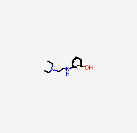 CCN(CC)CCNc1cccc(O)c1